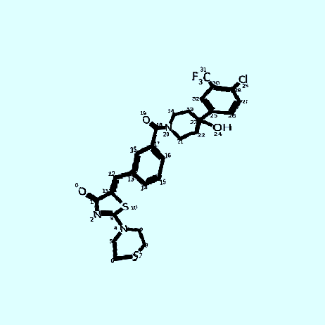 O=C1N=C(N2CCSCC2)SC1=Cc1cccc(C(=O)N2CCC(O)(c3ccc(Cl)c(C(F)(F)F)c3)CC2)c1